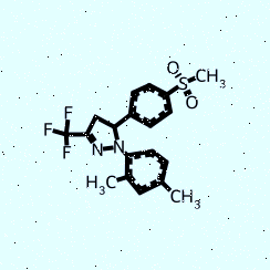 Cc1ccc(N2N=C(C(F)(F)F)CC2c2ccc(S(C)(=O)=O)cc2)c(C)c1